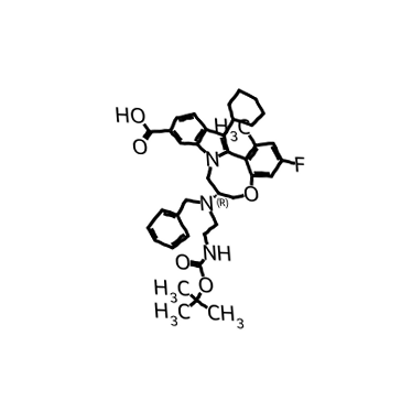 Cc1cc(F)cc2c1-c1c(C3CCCCC3)c3ccc(C(=O)O)cc3n1C[C@@H](N(CCNC(=O)OC(C)(C)C)Cc1ccccc1)CO2